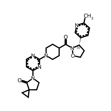 Cc1ccc([C@@H]2CCON2C(=O)C2CCN(c3nccc(N4CCC5(CC5)C4=O)n3)CC2)cn1